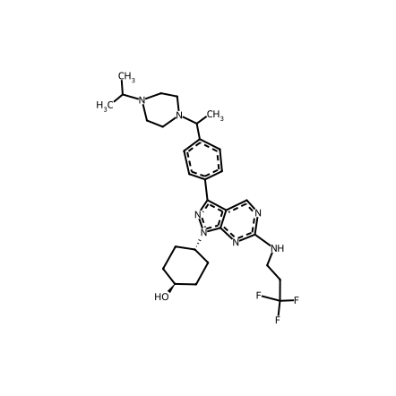 CC(C)N1CCN(C(C)c2ccc(-c3nn([C@H]4CC[C@H](O)CC4)c4nc(NCCC(F)(F)F)ncc34)cc2)CC1